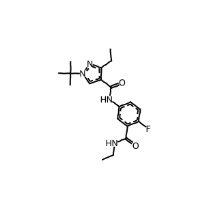 CCNC(=O)c1cc(NC(=O)c2cn(C(C)(C)C)nc2CC)ccc1F